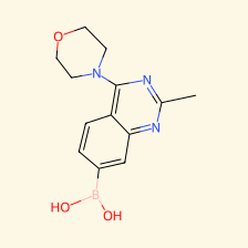 Cc1nc(N2CCOCC2)c2ccc(B(O)O)cc2n1